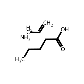 C=CC.CCCCC(=O)O.N